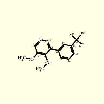 CNc1c(OC)cnnc1-c1cccc(C(F)(F)F)c1